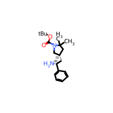 CC(C)(C)OC(=O)N1C[C@@H](C[C@@H](N)c2ccccc2)CC1(C)C